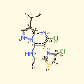 CC(C)c1cnn2c(NC(C)c3nc(Cl)cs3)cc(Cl)nc12